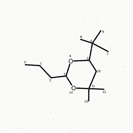 CCCC1OC(C(C)(C)C)CC(C)(C)O1